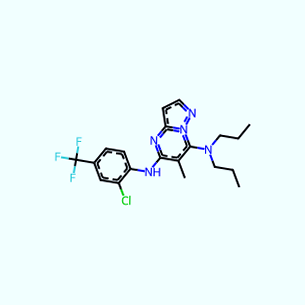 CCCN(CCC)c1c(C)c(Nc2ccc(C(F)(F)F)cc2Cl)nc2ccnn12